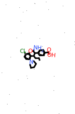 CCCC(c1cc(Cl)ccc1N1CCCCC1)C(C(N)=O)c1ccc(C(=O)O)cc1